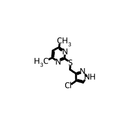 Cc1cc(C)nc(SCc2n[nH]cc2Cl)n1